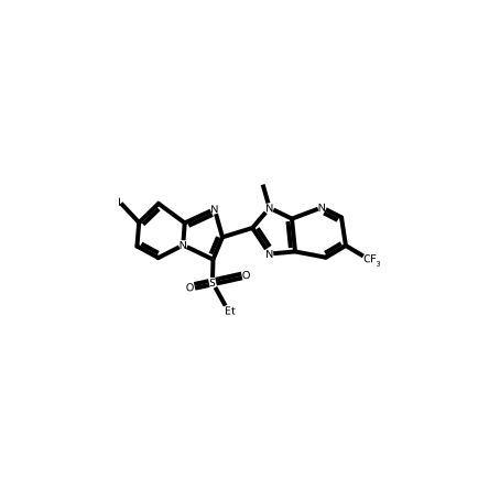 CCS(=O)(=O)c1c(-c2nc3cc(C(F)(F)F)cnc3n2C)nc2cc(I)ccn12